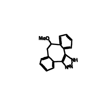 COC1Cc2ccccc2-c2nn[nH]c2-c2ccccc21